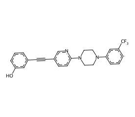 Oc1cccc(C#Cc2ccc(N3CCN(c4cc[c]c(C(F)(F)F)c4)CC3)nc2)c1